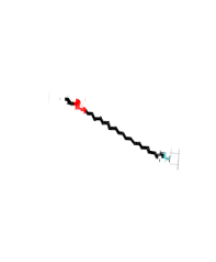 CC=CC(=O)OCCCCCCCCCCCCCCCCCCCC[Si](C)(C)F